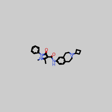 Cc1c(C(=O)Nc2ccc3c(c2)CCN(C2CCC2)CC3)c(=O)n(-c2ccccc2)n1C